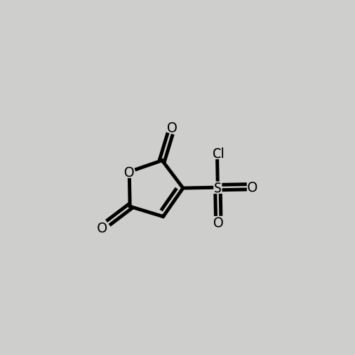 O=C1C=C(S(=O)(=O)Cl)C(=O)O1